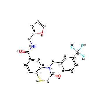 O=C(NCc1ccco1)c1ccc2c(c1)N(Cc1cccc(C(F)(F)F)c1)C(=O)CS2